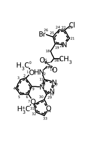 COc1cccc(OC)c1-n1c(NS(=O)(=O)C(C)Cc2ncc(Cl)cc2Br)nnc1-c1ccco1